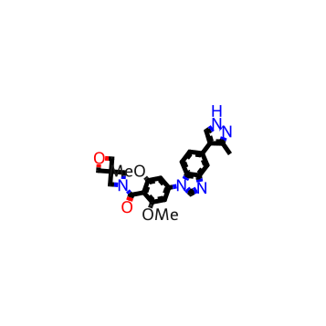 COc1cc(-n2cnc3cc(-c4c[nH]nc4C)ccc32)cc(OC)c1C(=O)N1CC2(COC2)C1